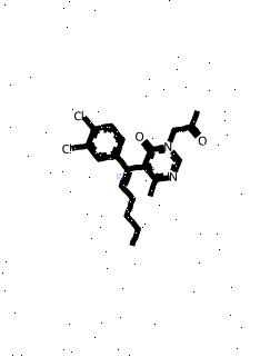 CCCC/C=C(/c1ccc(Cl)c(Cl)c1)c1c(C)ncn(CC(C)=O)c1=O